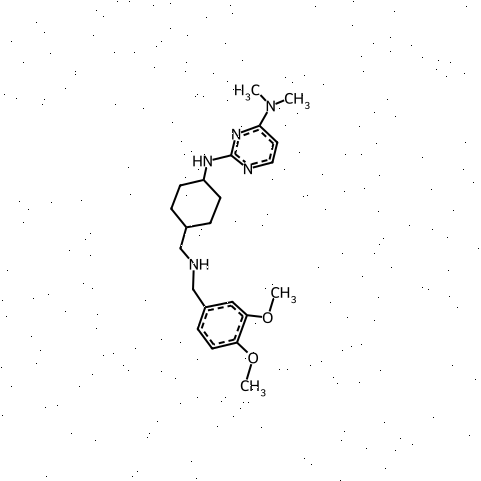 COc1ccc(CNCC2CCC(Nc3nccc(N(C)C)n3)CC2)cc1OC